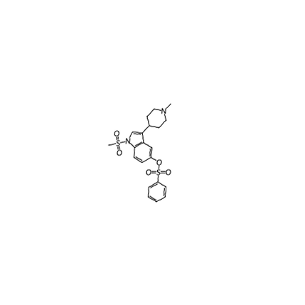 CN1CCC(c2cn(S(C)(=O)=O)c3ccc(OS(=O)(=O)c4ccccc4)cc23)CC1